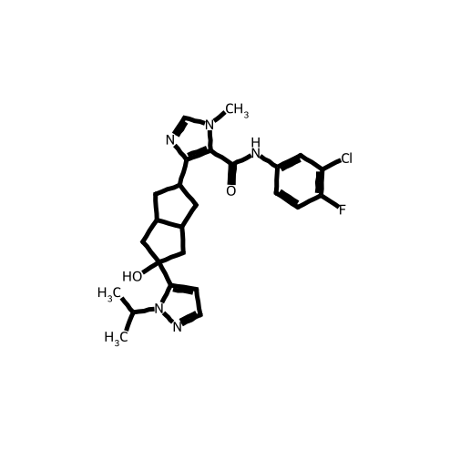 CC(C)n1nccc1C1(O)CC2CC(c3ncn(C)c3C(=O)Nc3ccc(F)c(Cl)c3)CC2C1